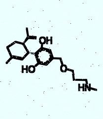 C=C(C)[C@@H]1CCC(C)=C[C@H]1c1c(O)cc(COCCCNC)cc1O